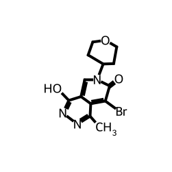 Cc1nnc(O)c2cn(C3CCOCC3)c(=O)c(Br)c12